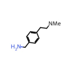 CNCCc1ccc(CN)cc1